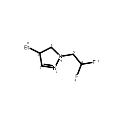 CCC1[C]=NN(CC(F)F)[CH]1